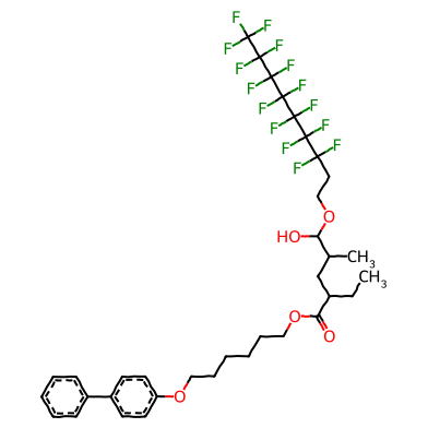 CCC(CC(C)C(O)OCCC(F)(F)C(F)(F)C(F)(F)C(F)(F)C(F)(F)C(F)(F)C(F)(F)F)C(=O)OCCCCCCOc1ccc(-c2ccccc2)cc1